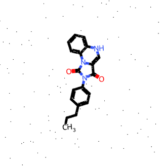 CCCc1ccc(-n2c(=O)c3c[nH]c4ccccc4n-3c2=O)cc1